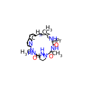 CC(C)[C@@H]1NCC(C)(C)/C=C/c2ccc3ccc(nc3c2)N(C)NC(=O)[C@@H]2CCCN(N2)C(=O)[C@H](C)NC1=O